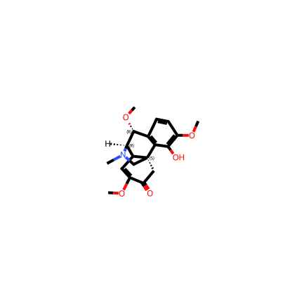 COC1=CC2[C@@H]3[C@H](OC)c4ccc(OC)c(O)c4[C@@]2(CC1=O)CN3C